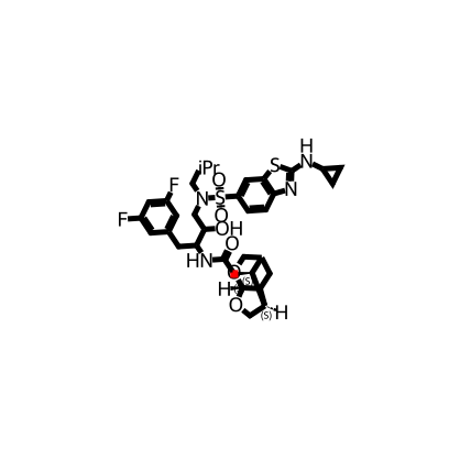 CC(C)CN(CC(O)C(Cc1cc(F)cc(F)c1)NC(=O)C[C@H]1C2CO[C@H]3OC[C@@H]1C3C2)S(=O)(=O)c1ccc2nc(NC3CC3)sc2c1